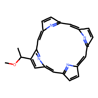 COC(C)C1=CC2=CC3=NC(=CC4=NC(=CC5=NC(=CC1=N2)C=C5)C=C4)C=C3